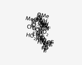 CCOc1cc(Oc2ccc(C(F)(F)F)cc2Cl)ccc1[N+](=O)[O-].COc1cc(OC)nc(NC(=O)NS(=O)(=O)c2ncccc2C(=O)N(C)C)n1.O=C(Nc1nc(OC(F)F)cc(OC(F)F)n1)NS(=O)(=O)c1ccccc1C(=O)O